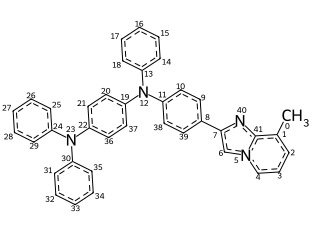 Cc1cccn2cc(-c3ccc(N(c4ccccc4)c4ccc(N(c5ccccc5)c5ccccc5)cc4)cc3)nc12